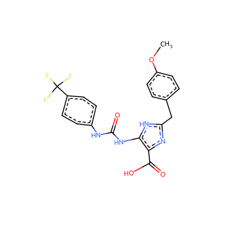 COc1ccc(Cc2nc(C(=O)O)c(NC(=O)Nc3ccc(C(F)(F)F)cc3)[nH]2)cc1